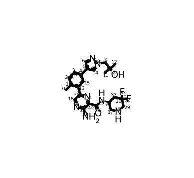 Cc1ccc(-c2cnn(CC(C)(C)O)c2)cc1-c1cnc(N)c(C(=O)N[C@@H]2CNCC(F)(F)C2)n1